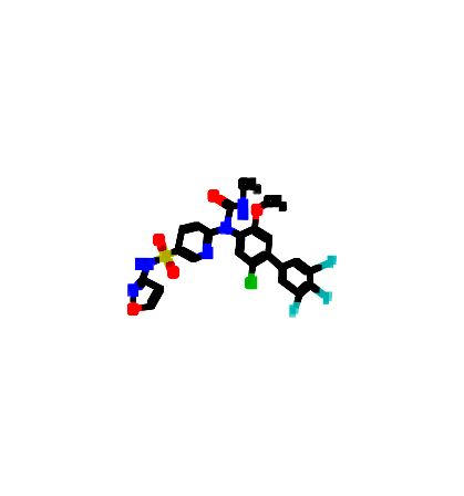 CNC(=O)N(c1ccc(S(=O)(=O)Nc2ccon2)cn1)c1cc(Cl)c(-c2cc(F)c(F)c(F)c2)cc1OC